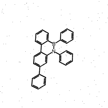 c1ccc(B2c3ccccc3-c3ccc(-c4ccccc4)cc3N2c2ccccc2)cc1